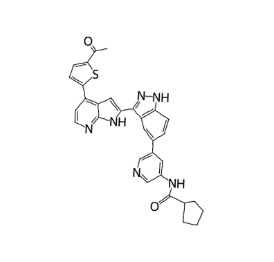 CC(=O)c1ccc(-c2ccnc3[nH]c(-c4n[nH]c5ccc(-c6cncc(NC(=O)C7CCCC7)c6)cc45)cc23)s1